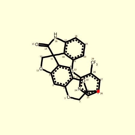 CC1COc2cc3c(cc2O1)C1(CO3)C(=O)Nc2cccc(Oc3ncccc3C(F)(F)F)c21